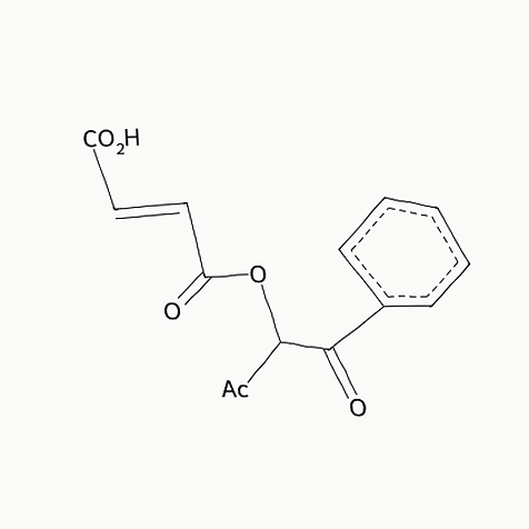 CC(=O)C(OC(=O)C=CC(=O)O)C(=O)c1ccccc1